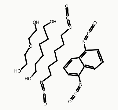 O=C=NCCCCCCN=C=O.O=C=Nc1cccc2c(N=C=O)cccc12.OCCCCCCO.OCCOCCO